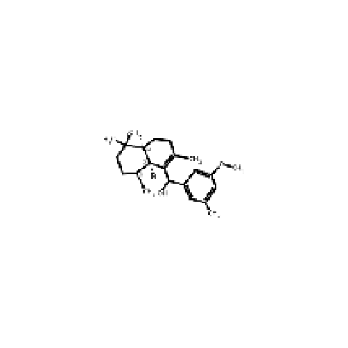 COc1cc(C)cc(C(O)C2=C(C)CC[C@H]3[C@@H]2[C@@H](C)CCC3(C)C)c1